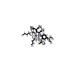 CCCCOC(=O)N(C(=O)OCCCC)C(=C(C#N)C#N)/C(C#N)=N/c1ccc(N(CC)CC)cc1NC(C)=O